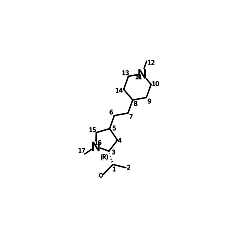 CC(C)[C@H]1CC(CCC2CCN(C)CC2)CN1C